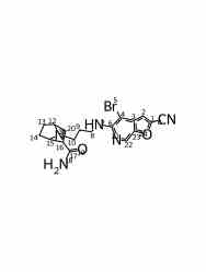 N#Cc1cc2c(Br)c(NCCCN3C4CCC3C(C(N)=O)C4)ncc2o1